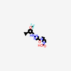 O=C(O)N1CCC2(CCN2C(=O)c2cnc(NCc3cc(OC(F)(F)F)cc(C4CC4)c3)nc2)C1